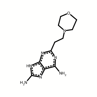 Nc1nc2c(N)nc(CCN3CCOCC3)nc2[nH]1